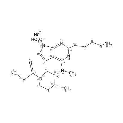 C[C@@H]1CCN(C(=O)CC#N)C[C@@H]1N(C)c1nc(CCCCN)nc2c1ccn2C(=O)O.Cl